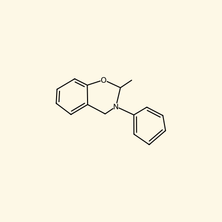 CC1Oc2ccccc2CN1c1ccccc1